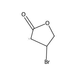 O=C1[CH]C(Br)CO1